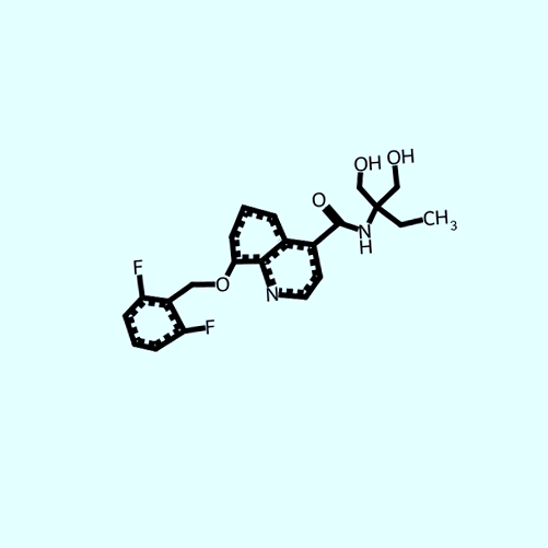 CCC(CO)(CO)NC(=O)c1ccnc2c(OCc3c(F)cccc3F)cccc12